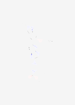 COCOc1c(-c2ccc3nc(N4CCN(C(=O)OC(C)(C)C)C(C)C4)cnc3n2)cc2cn(C)nc2c1C